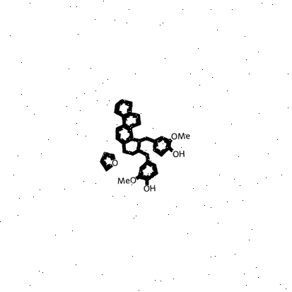 COc1cc(CC2CCc3ccc4c(ccc5ccccc54)c3C2Cc2ccc(O)c(OC)c2)ccc1O.c1ccoc1